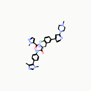 Cc1ncn(C)c1-c1ccc(NC(=O)[C@H](Cc2cc(-c3ccnc(N4CCN(C)CC4)c3)ccc2Cl)NC(=O)c2ccnn2C)cc1